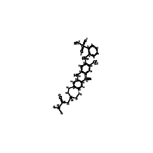 CCCS(=O)(=O)c1ccccc1Nc1nc(Nc2cc3c(cc2OC)CCN(CC(=O)N(C)C)CC3)ncc1C(F)(F)F